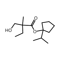 CCC(C)(CO)C(=O)OC1(C(C)C)CCCC1